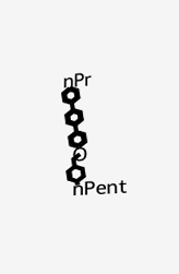 CCCCCC1C=CC(COc2ccc(-c3ccc(-c4ccc(CCC)cc4)cc3)cc2)CC1